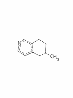 CC1CCc2cnccc2C1